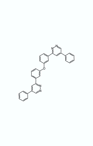 c1ccc(-c2cnnc(-c3cccc(Oc4cccc(-c5cc(-c6ccccc6)cnn5)c4)c3)c2)cc1